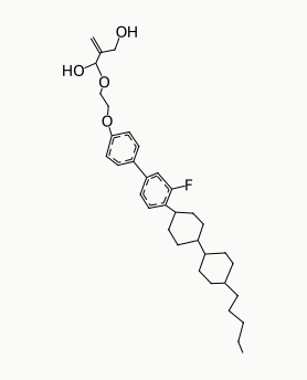 C=C(CO)C(O)OCCOc1ccc(-c2ccc(C3CCC(C4CCC(CCCCC)CC4)CC3)c(F)c2)cc1